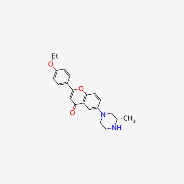 CCOc1ccc(-c2cc(=O)c3cc(N4CCN[C@@H](C)C4)ccc3o2)cc1